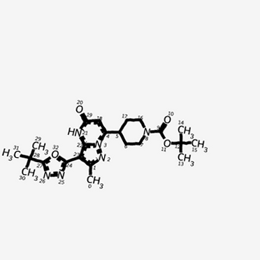 Cc1nn2c(C3CCN(C(=O)OC(C)(C)C)CC3)cc(=O)[nH]c2c1-c1nnc(C(C)(C)C)o1